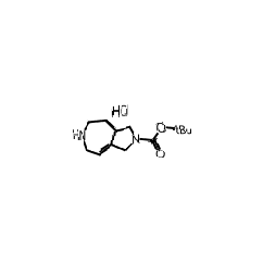 CC(C)(C)OC(=O)N1CC2=CCNCCC2C1.Cl